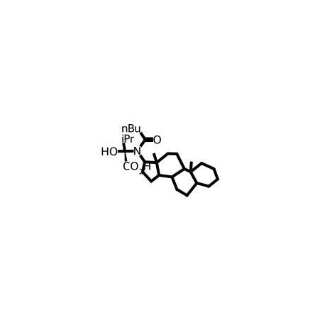 CCCCC(=O)N(C1CCC2C3CCC4CCCCC4(C)C3CCC21C)[C@@](O)(C(=O)O)C(C)C